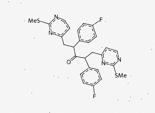 CSc1nccc(CC(C(=O)C(Cc2ccnc(SC)n2)c2ccc(F)cc2)c2ccc(F)cc2)n1